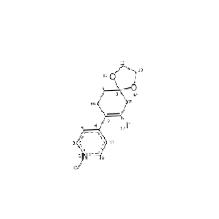 C[n+]1ccc(C2=CCC3(CC2)OCCO3)cc1.[I-]